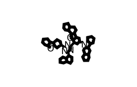 c1ccc2cc3c(cc2c1)c1ccccc1n3-c1cc(-c2nc(-c3ccc4c(c3)oc3ccccc34)nc(-c3cccc4ccccc34)n2)c2oc3c4ccccc4ccc3c2c1